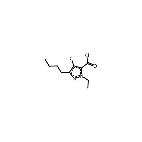 CCCCc1nn(CC)c(C(=O)Cl)c1Cl